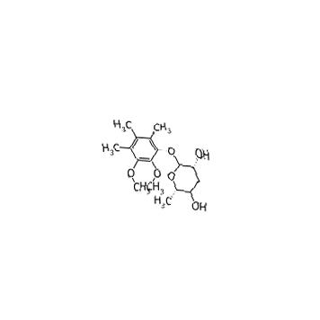 COc1c(C)c(C)c(C)c(OC2O[C@@H](C)C(O)C[C@H]2O)c1OC